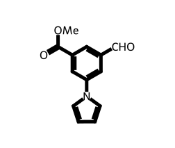 COC(=O)c1cc(C=O)cc(-n2cccc2)c1